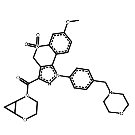 COc1ccc2c(c1)S(=O)(=O)Cc1c(C(=O)N3CCOC4CC43)nn(-c3ccc(CN4CCOCC4)cc3)c1-2